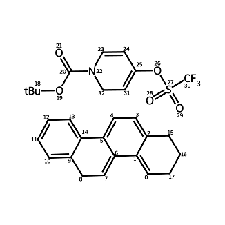 C1=c2c(ccc3c2=CCc2ccccc2-3)CCC1.CC(C)(C)OC(=O)N1C=CC(OS(=O)(=O)C(F)(F)F)=CC1